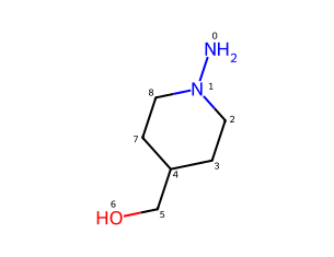 NN1CCC(CO)CC1